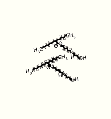 CCCCCCCCC(CCCCCC)C(=O)OCCCCCCNCCCCO.CCCCCCCCC(CCCCCC)C(=O)OCCCCCCNCCCCO